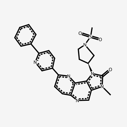 Cn1c(=O)n([C@H]2CCN(S(C)(=O)=O)C2)c2c3nc(-c4ccc(-c5ccccc5)nc4)ccc3ncc21